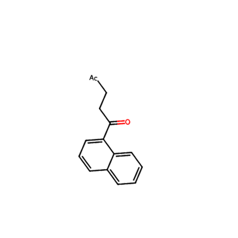 CC(=O)CCC(=O)c1cccc2ccccc12